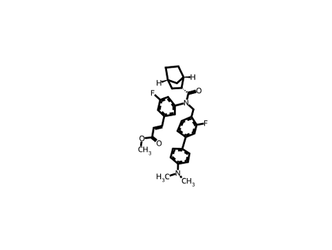 COC(=O)/C=C/c1cc(F)cc(N(Cc2ccc(-c3ccc(N(C)C)cc3)cc2F)C(=O)[C@@H]2C[C@@H]3CC[C@H]2C3)c1